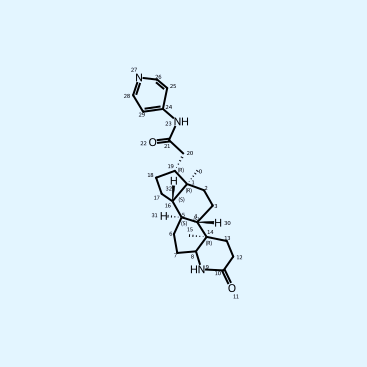 C[C@]12CC[C@H]3[C@@H](CCC4NC(=O)CC[C@@]43C)[C@@H]1CC[C@@H]2CC(=O)Nc1ccncc1